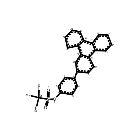 O=S(=O)(Oc1ccc(-c2ccc3c4ccccc4c4ccccc4c3c2)cc1)C(F)(F)F